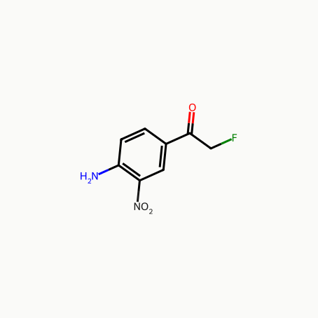 Nc1ccc(C(=O)CF)cc1[N+](=O)[O-]